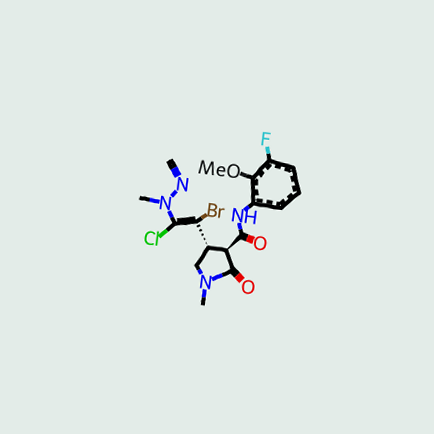 C=NN(C)/C(Cl)=C(\Br)[C@H]1CN(C)C(=O)[C@@H]1C(=O)Nc1cccc(F)c1OC